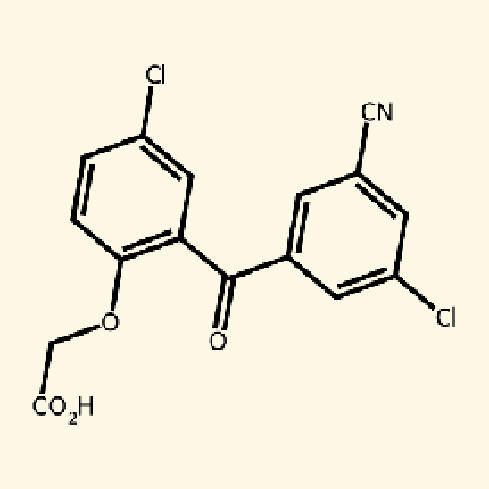 N#Cc1cc(Cl)cc(C(=O)c2cc(Cl)ccc2OCC(=O)O)c1